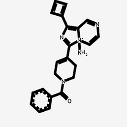 N[N+]12C=CN=CC1=C(C1=CC=C1)N=C2C1=CCN(C(=O)c2ccccc2)CC1